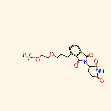 COCCOCCCc1cccc2c1C(=O)N(C1CCC(=O)NC1=O)C2=O